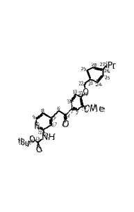 COc1cc(C(=O)Cc2ccnc(NC(=O)OC(C)(C)C)c2)ccc1OCc1ccc(C(C)C)cc1